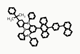 CC(C)(c1ccccc1)C1C=CC2=C(C1)N(c1ccccc1)c1cc(-c3c4ccccc4c(-c4ccc(-c5cccc6ccccc56)cc4)c4ccccc34)cc3c1B2c1ccccc1N3c1ccccc1